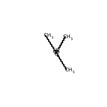 CCCCCCCCCCCCSOP(OSCCCCCCCCCCCC)OSCCCCCCCCCCCC